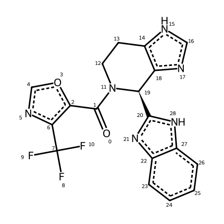 O=C(c1ocnc1C(F)(F)F)N1CCc2[nH]cnc2[C@H]1c1nc2ccccc2[nH]1